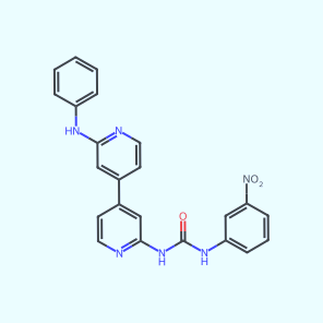 O=C(Nc1cccc([N+](=O)[O-])c1)Nc1cc(-c2ccnc(Nc3ccccc3)c2)ccn1